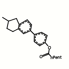 CCCCCC(=O)Oc1ccc(-c2ccc3c(c2)CCC(C)C3)cc1